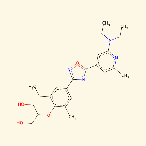 CCc1cc(-c2noc(-c3cc(C)nc(N(CC)CC)c3)n2)cc(C)c1OC(CO)CO